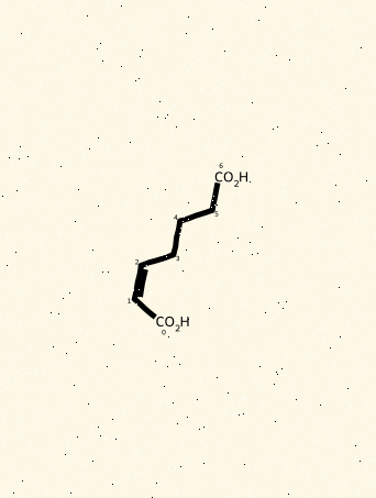 O=C(O)/C=C\CCCC(=O)O